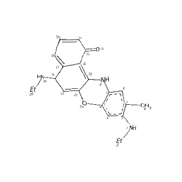 CCNc1cc2c(cc1C)NC1=C3C(=O)C=CC=C3C(NCC)C=C1O2